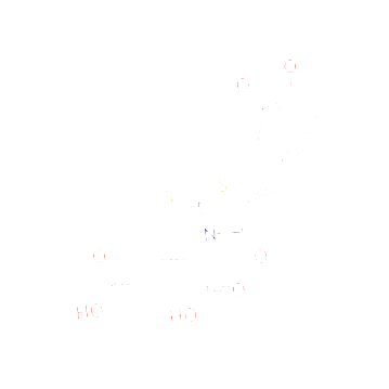 O=C(O)CCC(C(=O)O)N1C(=O)C(=Cc2ccc3c(c2)OCO3)SC1=S